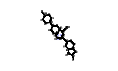 Cc1nc2ccc(C3=C\C(=O)N4C=C(C5=CCN(C)CC5)C=C\C4=C/C=C/3)cc2o1